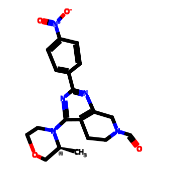 C[C@H]1COCCN1c1nc(-c2ccc([N+](=O)[O-])cc2)nc2c1CCN(C=O)C2